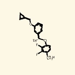 CC[C@@H](Oc1ccc(C(=O)O)c(F)c1F)c1cccc(OCC2CC2)c1